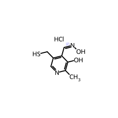 Cc1ncc(CS)c(/C=N\O)c1O.Cl